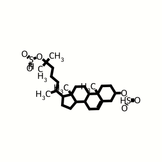 CC(CCCC(C)(C)O[SH](=O)=O)C1CCC2C3CC=C4CC(O[SH](=O)=O)CCC4(C)C3CCC12C